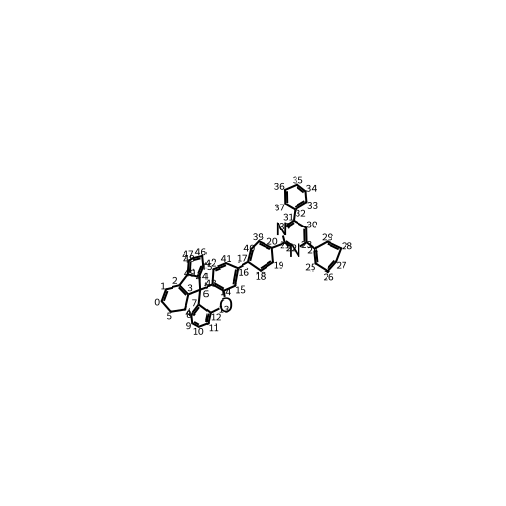 C1=CC2=C(CC1)C1(c3ccccc3Oc3cc(-c4ccc(-c5nc(-c6ccccc6)cc(-c6ccccc6)n5)cc4)ccc31)c1ccccc12